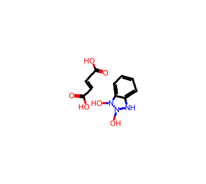 O=C(O)C=CC(=O)O.ON1Nc2ccccc2N1O